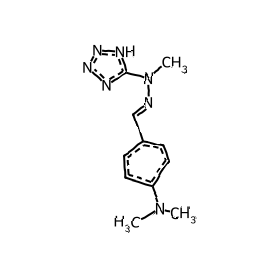 CN(C)c1ccc(C=NN(C)c2nnn[nH]2)cc1